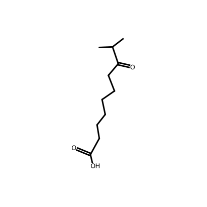 CC(C)C(=O)CCCCCCC(=O)O